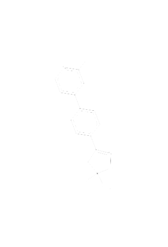 Cc1cc(-c2ccc(C3=NOC(O)(C(F)(F)F)C3)cc2)ccn1